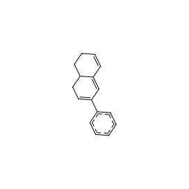 C1=CC2=CC(c3ccccc3)=CCC2CC1